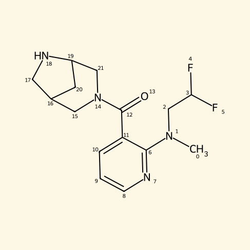 CN(CC(F)F)c1ncccc1C(=O)N1CC2CNC(C2)C1